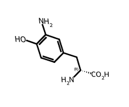 Nc1cc(C[C@@H](N)C(=O)O)ccc1O